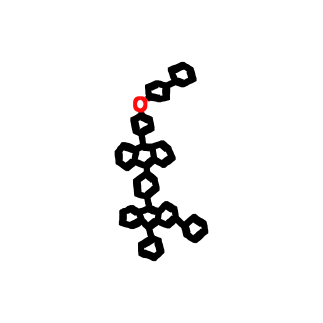 c1ccc(-c2ccc(Oc3ccc(-c4c5ccccc5c(-c5ccc(-c6c7ccccc7c(-c7ccccc7)c7cc(-c8ccccc8)ccc67)cc5)c5ccccc45)cc3)cc2)cc1